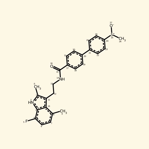 Cc1[nH]c2c(F)ccc(C)c2c1CCNC(=O)c1ccc(-c2ccc([S+](C)[O-])cc2)cc1